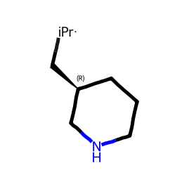 C[C](C)C[C@H]1CCCNC1